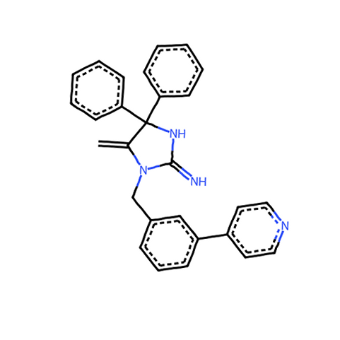 C=C1N(Cc2cccc(-c3ccncc3)c2)C(=N)NC1(c1ccccc1)c1ccccc1